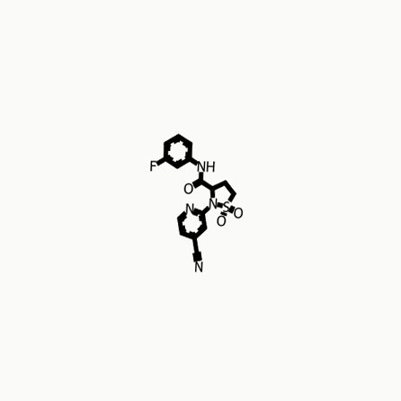 N#Cc1ccnc(N2C(C(=O)Nc3cccc(F)c3)CCS2(=O)=O)c1